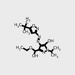 CCOC(O)c1nn(C(C)C)c(O)c1/N=N/c1cc(C(C)(C)C)on1